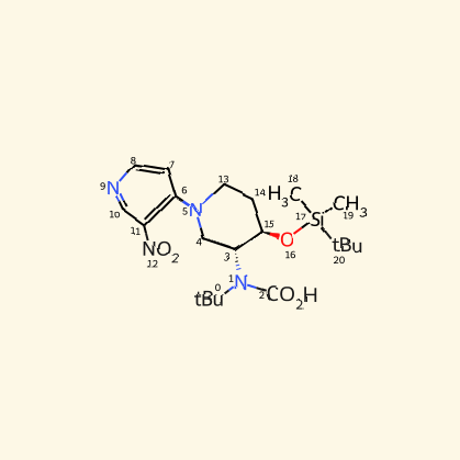 CC(C)(C)N(C(=O)O)[C@@H]1CN(c2ccncc2[N+](=O)[O-])CC[C@H]1O[Si](C)(C)C(C)(C)C